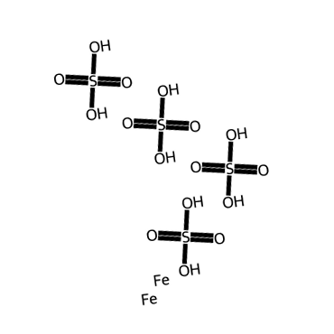 O=S(=O)(O)O.O=S(=O)(O)O.O=S(=O)(O)O.O=S(=O)(O)O.[Fe].[Fe]